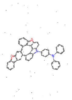 c1ccc(N(c2ccccc2)c2ccc(-n3c4cccc5c6cc7c(cc6c6cccc8oc9ccc3c(c9c86)c54)oc3ccccc37)cc2)cc1